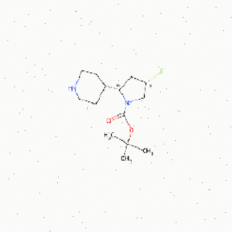 CC(C)(C)OC(=O)N1C[C@@H](F)C[C@H]1C1CCNCC1